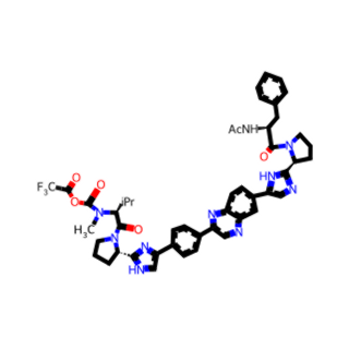 CC(=O)N[C@@H](Cc1ccccc1)C(=O)N1CCC[C@H]1c1ncc(-c2ccc3nc(-c4ccc(-c5c[nH]c([C@@H]6CCCN6C(=O)[C@H](C(C)C)N(C)C(=O)OC(=O)C(F)(F)F)n5)cc4)cnc3c2)[nH]1